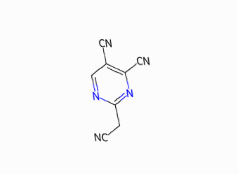 N#CCc1ncc(C#N)c(C#N)n1